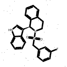 O=S(=O)(Cc1cccc(F)c1)N1CCc2ccccc2[C@@H]1c1c[nH]c2ccccc12